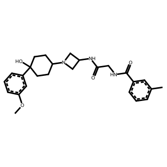 COc1cccc(C2(O)CCC(N3CC(NC(=O)CNC(=O)c4cccc(C)c4)C3)CC2)c1